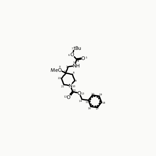 COC1(CNC(=O)OC(C)(C)C)CCN(C(=O)OCc2ccccc2)CC1